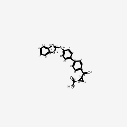 O=C(c1ccc(-c2ccc(Nc3nc4ccccc4s3)cc2)cc1)C1C[C@H]1C(=O)O